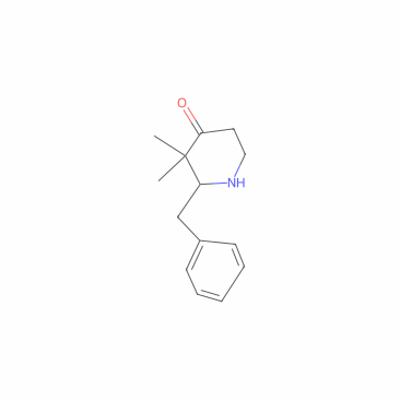 CC1(C)C(=O)CCNC1Cc1ccccc1